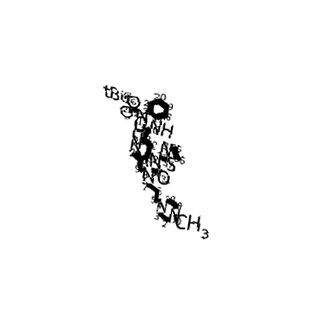 CN1CCN(CCCN(Cc2ccc(C(=O)Nc3ccccc3NC(=O)OC(C)(C)C)nc2)C(=O)Nc2nccs2)CC1